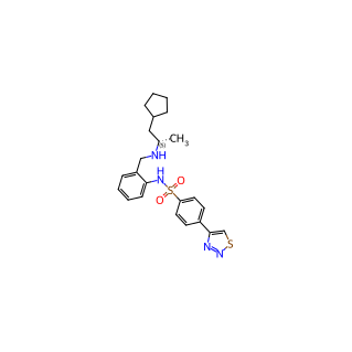 C[C@@H](CC1CCCC1)NCc1ccccc1NS(=O)(=O)c1ccc(-c2csnn2)cc1